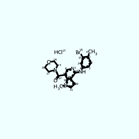 Cc1ccc(Nc2ncc(C(=O)N3CCOCC3)c3c2ccn3C)cc1Br.Cl